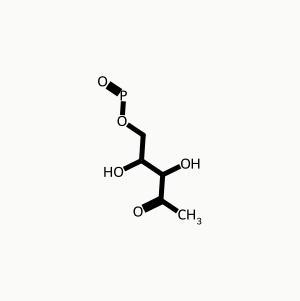 CC(=O)C(O)C(O)COP=O